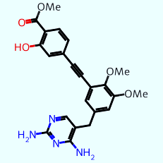 COC(=O)c1ccc(C#Cc2cc(Cc3cnc(N)nc3N)cc(OC)c2OC)cc1O